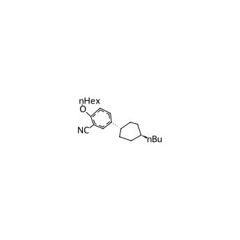 CCCCCCOc1ccc([C@H]2CC[C@H](CCCC)CC2)cc1C#N